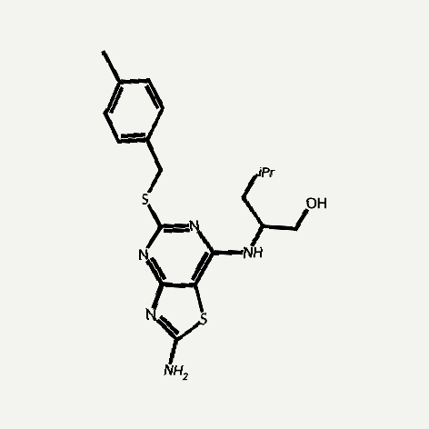 Cc1ccc(CSc2nc(NC(CO)CC(C)C)c3sc(N)nc3n2)cc1